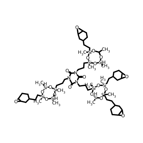 CC1O[SiH](C)O[Si](C)(CCCn2c(=O)n(CCC[Si]3(C)O[SiH](C)O[Si](C)(CCC4CCC5OC5C4)O[SiH](C)O3)c(=O)n(CCC[Si]3(C)O[SiH](C)O[Si](C)(CCC4CCC5OC5C4)O[Si](C)(CCC4CCC5OC5C4)O3)c2=O)O[Si](C)(CCC2CCC3OC3C2)O1